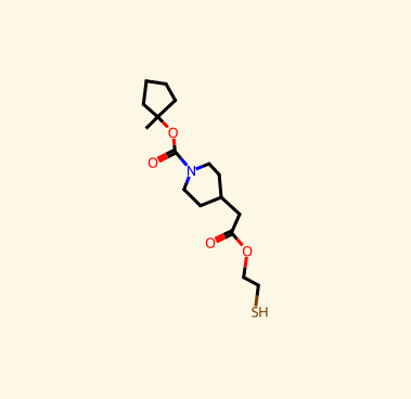 CC1(OC(=O)N2CCC(CC(=O)OCCS)CC2)CCCC1